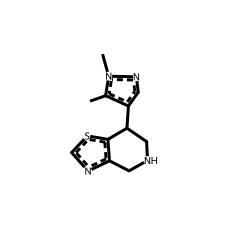 Cc1c(C2CNCc3ncsc32)cnn1C